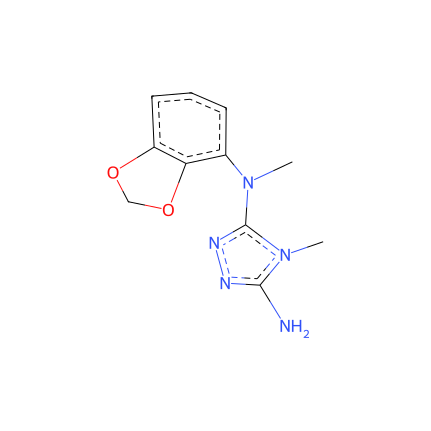 CN(c1cccc2c1OCO2)c1nnc(N)n1C